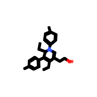 CCC1=C(c2ccc(C)cc2)C(CC)N(c2ccc(C)cc2)[C]=C1CCO